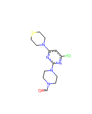 O=CN1CCN(c2nc(Cl)cc(N3CCSCC3)n2)CC1